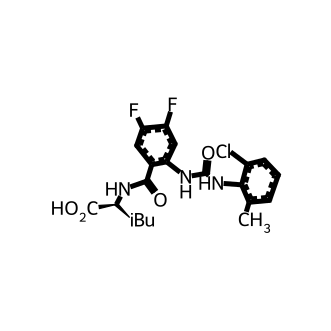 CC[C@H](C)[C@H](NC(=O)c1cc(F)c(F)cc1NC(=O)Nc1c(C)cccc1Cl)C(=O)O